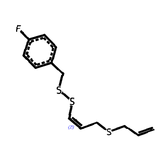 C=CCSC/C=C\SSCc1ccc(F)cc1